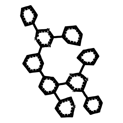 c1ccc(-c2nc(-c3ccccc3)nc(-c3cccc(-c4ccc(-c5cccnc5)c(-c5nc(-c6ccccc6)nc(-c6ccccc6)n5)c4)c3)n2)cc1